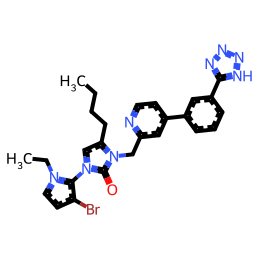 CCCCc1cn(-c2c(Br)ccn2CC)c(=O)n1Cc1cc(-c2cccc(-c3nnn[nH]3)c2)ccn1